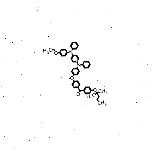 CCCC(C)(C)Oc1ccc(C(=O)c2ccc(Oc3ccc(N(c4ccccc4)c4ccc(N(c5ccccc5)c5ccc(OCC)cc5)cc4)cc3)cc2)cc1